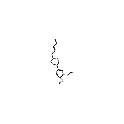 CCC=CCC1CCC(c2ccc(OC)c(CCC)c2)CC1